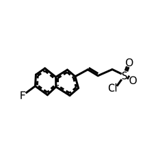 O=S(=O)(Cl)CC=Cc1ccc2cc(F)ccc2c1